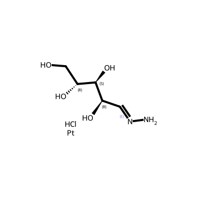 Cl.N/N=C/[C@@H](O)[C@H](O)[C@H](O)CO.[Pt]